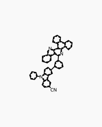 N#Cc1ccc2c(c1)c1cc(-c3cccc(-c4nc5c6ccccc6c6ccccc6c5c5ncc6ccccc6c45)c3)ccc1n2-c1ccccc1